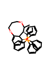 C/C=C(\[C@@H]1C(C)OCCCOC2=CC=C[C@H](P(c3ccccc3)c3ccccc3)C21)P(c1ccccc1)c1ccccc1